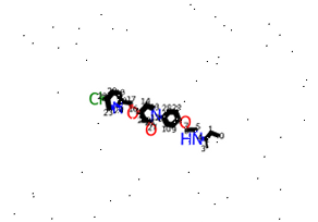 CC[C@@H](C)NCCOc1ccc(-n2ccc(OCc3ccc(Cl)cn3)cc2=O)cc1